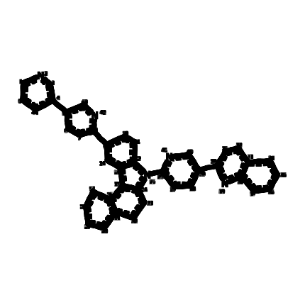 c1cncc(-c2ccc(-c3ccc4c(c3)c3c5ccccc5ccc3n4-c3ccc(-c4ccc5ccccc5n4)cn3)nc2)c1